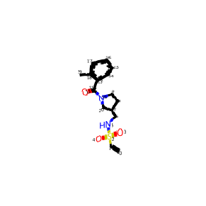 C=CS(=O)(=O)NCC1CCN(C(=O)c2ccccc2C)C1